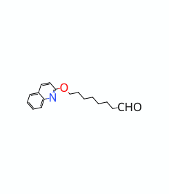 O=CCCCCCCCOc1ccc2ccccc2n1